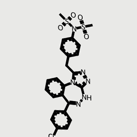 CS(=O)(=O)N(c1ccc(Cc2nnc3n2-c2ccccc2C(c2ccc(Cl)cc2)=NN3)cc1)S(C)(=O)=O